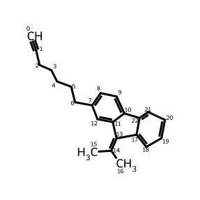 C#CCCCCCc1ccc2c(c1)C(=C(C)C)c1ccccc1-2